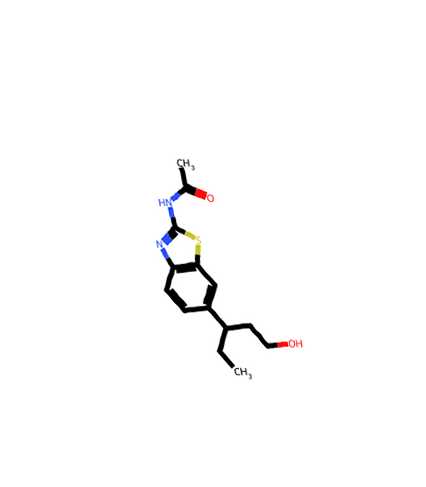 CCC(CCO)c1ccc2nc(NC(C)=O)sc2c1